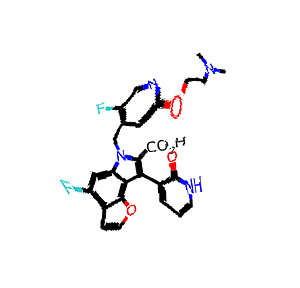 CN(C)CCOc1cc(Cn2c(C(=O)O)c(-c3ccc[nH]c3=O)c3c4occc4c(F)cc32)c(F)cn1